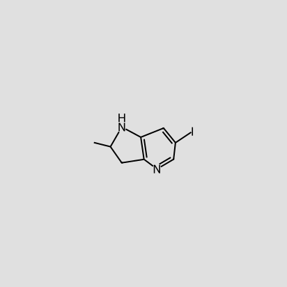 CC1Cc2ncc(I)cc2N1